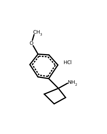 COc1ccc(C2(N)CCC2)cc1.Cl